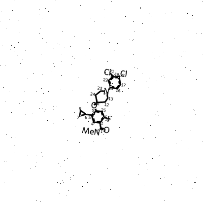 CNC(=O)c1cc(C2CC2)c(OC2CCN(c3ccc(Cl)c(Cl)c3)CC2)cc1F